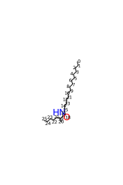 CCCCCCCCCCCCCCCCNC(=O)C(C)CCCCC